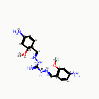 CCOc1cc(N)ccc1/C=N/NC(=N)N/N=C/c1ccc(N)cc1OCC